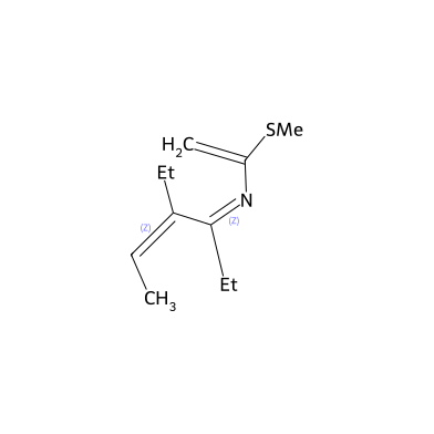 C=C(/N=C(CC)\C(=C/C)CC)SC